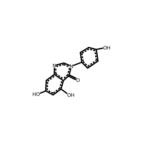 O=c1c2c(O)cc(O)cc2ncn1-c1ccc(O)cc1